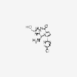 NCC(c1nc(CO)cs1)n1c(C(N)=O)ccc1-c1ncc(Cl)cn1